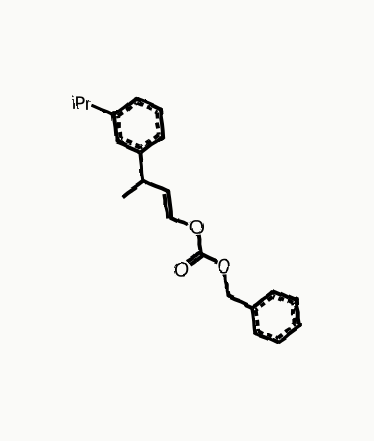 CC(C)c1cccc(C(C)/C=C/OC(=O)OCc2ccccc2)c1